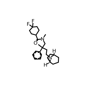 CN(CC(C)(CCN1[C@@H]2CCC[C@H]1CC2)c1ccccc1)C(=O)C1CCC(F)(F)CC1